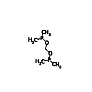 CP(C)OCOP(C)C